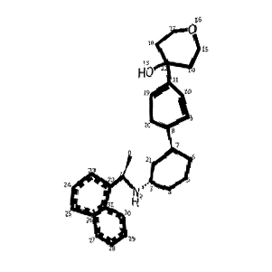 C[C@@H](N[C@H]1CCC[C@H](C2C=CC(C3(O)CCOCC3)=CC2)C1)c1cccc2ccccc12